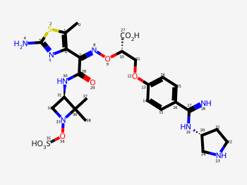 Cc1sc(N)nc1/C(=N/O[C@@H](COc1ccc(C(=N)N[C@@H]2CCNC2)cc1)C(=O)O)C(=O)N[C@@H]1CN(OS(=O)(=O)O)C1(C)C